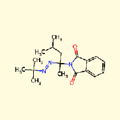 CC(C)CC(C)(N=NC(C)(C)C)N1C(=O)c2ccccc2C1=O